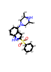 CC1CN(c2cccc3[nH]c(S(=O)(=O)c4ccccc4)cc23)CC(C)N1